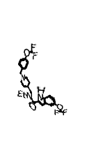 CCN(CC1CCN(Cc2ccc(OC(F)F)cc2)CC1)C(=O)c1cc2cc(OC(F)F)ccc2[nH]1